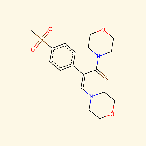 CS(=O)(=O)c1ccc(C(=CN2CCOCC2)C(=S)N2CCOCC2)cc1